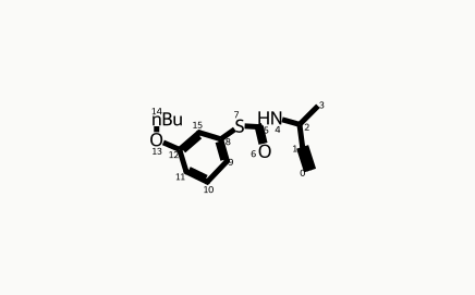 C#CC(C)NC(=O)Sc1cccc(OCCCC)c1